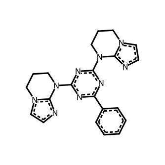 c1ccc(-c2nc(N3CCCn4ccnc43)nc(N3CCCn4ccnc43)n2)cc1